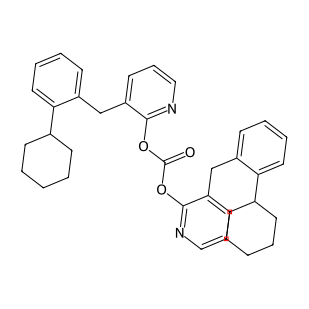 O=C(Oc1ncccc1Cc1ccccc1C1CCCCC1)Oc1ncccc1Cc1ccccc1C1CCCCC1